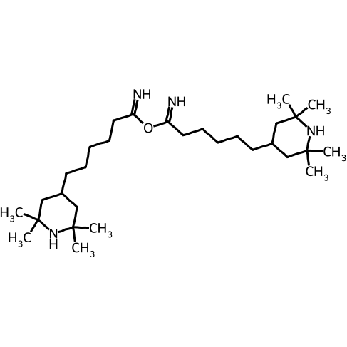 CC1(C)CC(CCCCCC(=N)OC(=N)CCCCCC2CC(C)(C)NC(C)(C)C2)CC(C)(C)N1